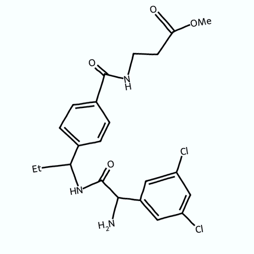 CCC(NC(=O)C(N)c1cc(Cl)cc(Cl)c1)c1ccc(C(=O)NCCC(=O)OC)cc1